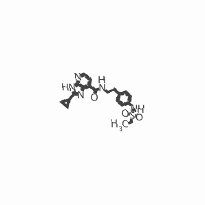 CCS(=O)(=O)Nc1ccc(CCNC(=O)c2ccnc3[nH]c(C4CC4)nc23)cc1